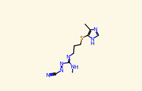 CNC(/N=N/C#N)=N\CCCSc1[nH]cnc1C